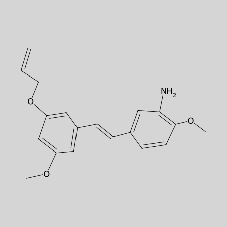 C=CCOc1cc(C=Cc2ccc(OC)c(N)c2)cc(OC)c1